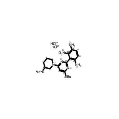 CCCCc1cc(N2CCCC(NC)C2)nc(-c2c(N)ccc(N)c2[N+](=O)[O-])n1.Cl.Cl